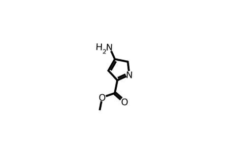 COC(=O)C1=NCC(N)=C1